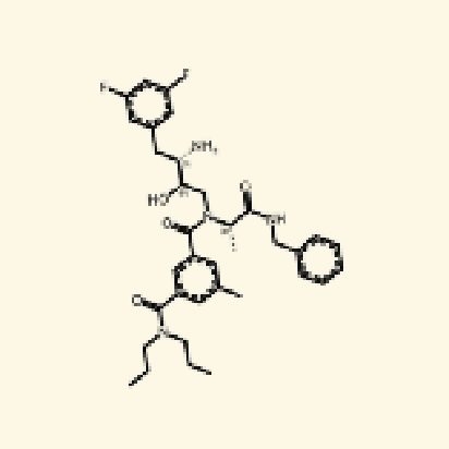 CCCN(CCC)C(=O)c1cc(C)cc(C(=O)N(C[C@@H](O)[C@@H](N)Cc2cc(F)cc(F)c2)[C@@H](C)C(=O)NCc2ccccc2)c1